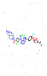 COc1ccc(-c2cnc3c(Nc4ccc(C(=O)N5CCC(CN)CC5)c(Cl)c4)nccn23)cc1F.Cl